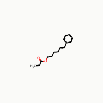 C=CC(=O)OCCCCC=Cc1ccccc1